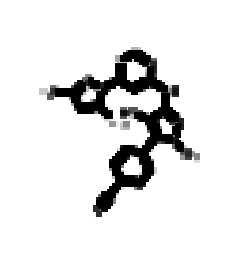 Cc1cc(C)n(-c2cc(Nc3nn(C)c(-c4ccc(C#N)cc4)c3O)ncn2)n1